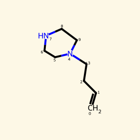 C=CC[CH]N1CCNCC1